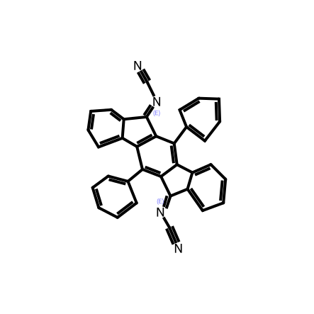 N#C/N=c1\c2ccccc2c2c(-c3ccccc3)c3/c(=N/C#N)c4ccccc4c3c(-c3ccccc3)c12